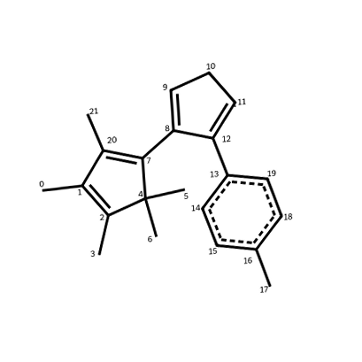 CC1=C(C)C(C)(C)C(C2=CC[C]=C2c2ccc(C)cc2)=C1C